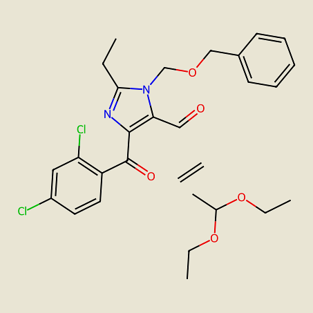 C=C.CCOC(C)OCC.CCc1nc(C(=O)c2ccc(Cl)cc2Cl)c(C=O)n1COCc1ccccc1